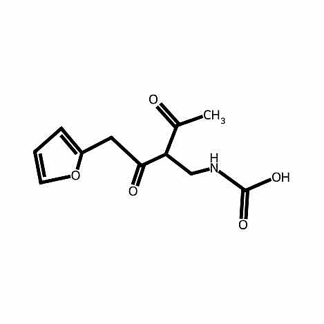 CC(=O)C(CNC(=O)O)C(=O)Cc1ccco1